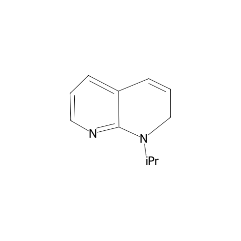 CC(C)N1CC=Cc2cccnc21